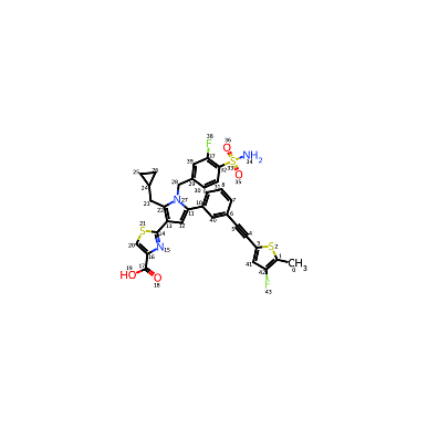 Cc1sc(C#Cc2cccc(-c3cc(-c4nc(C(=O)O)cs4)c(CC4CC4)n3Cc3ccc(S(N)(=O)=O)c(F)c3)c2)cc1F